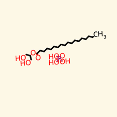 CCCCCCCCCCCCCCCCCC(=O)OC(CO)CO.O=P(O)(O)O